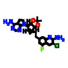 CC1(C)O[C@H]2[C@H](n3ccc4c(N)ncnc43)[C@H]3C[C@]3(CCc3cc(F)c4cc(Cl)c(N)nc4c3)[C@H]2O1